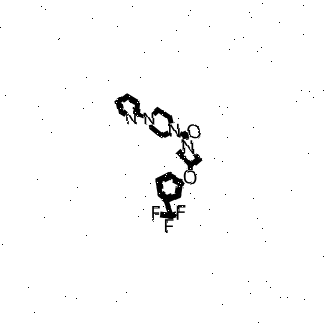 O=C(N1CCN(c2ccccn2)CC1)N1CC(Oc2cccc(C(F)(F)F)c2)C1